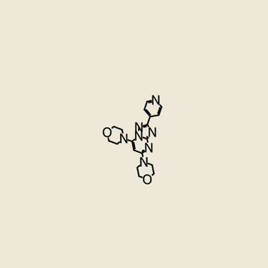 c1cc(-c2nc3nc(N4CCOCC4)cc(N4CCOCC4)n3n2)ccn1